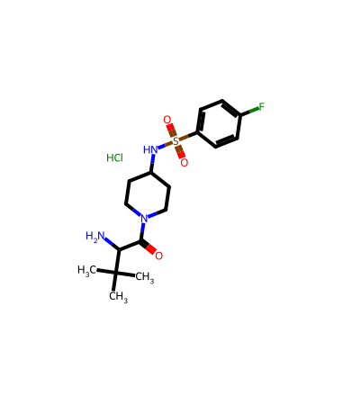 CC(C)(C)C(N)C(=O)N1CCC(NS(=O)(=O)c2ccc(F)cc2)CC1.Cl